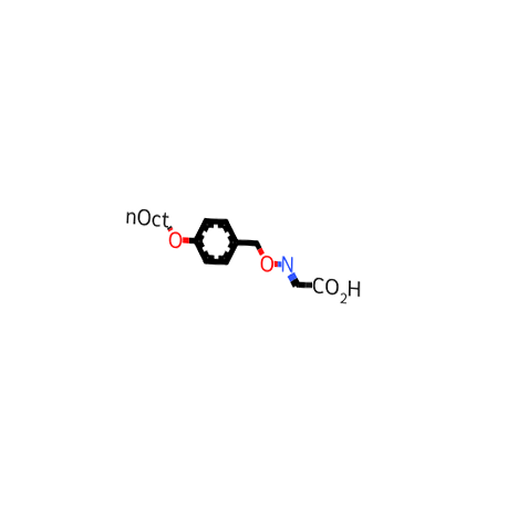 CCCCCCCCOc1ccc(CON=CC(=O)O)cc1